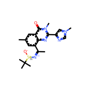 C/C(=N/[S@+]([O-])C(C)(C)C)c1cc(C)cc2c(=O)n(C)c(-c3cn(C)cn3)nc12